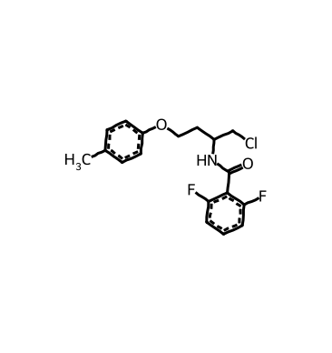 Cc1ccc(OCCC(CCl)NC(=O)c2c(F)cccc2F)cc1